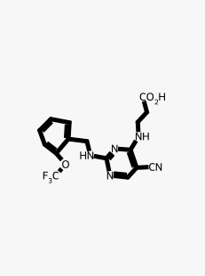 N#Cc1cnc(NCc2ccccc2OC(F)(F)F)nc1NCCC(=O)O